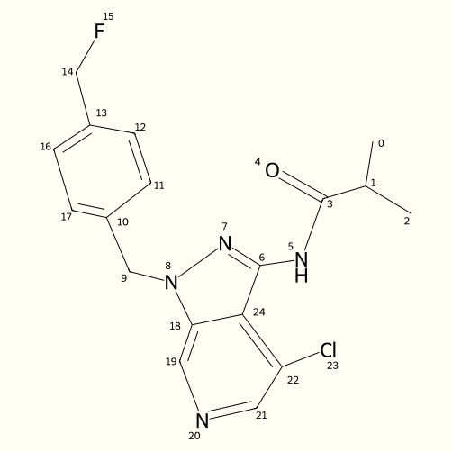 CC(C)C(=O)Nc1nn(Cc2ccc(CF)cc2)c2cncc(Cl)c12